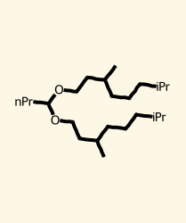 CCCC(OCCC(C)CCCC(C)C)OCCC(C)CCCC(C)C